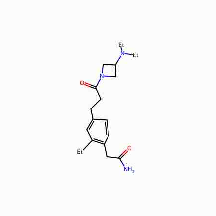 CCc1cc(C[CH]C(=O)N2CC(N(CC)CC)C2)ccc1CC(N)=O